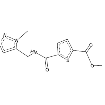 COC(=O)c1ccc(C(=O)NCc2ccnn2C)s1